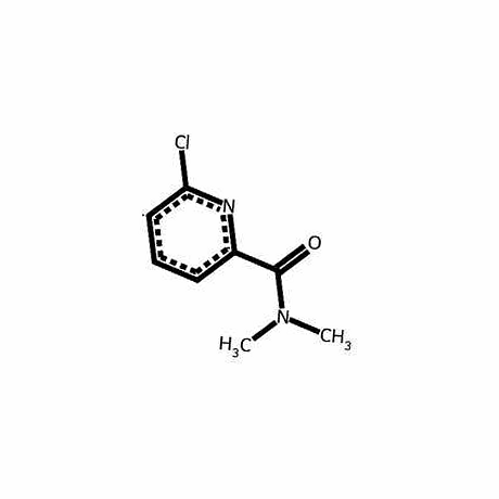 CN(C)C(=O)c1cc[c]c(Cl)n1